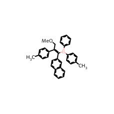 COC/C(=C(\B(c1ccccc1)c1ccc(C)cc1)c1ccc2ccccc2c1)c1ccc(C)cc1